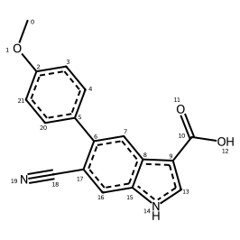 COc1ccc(-c2cc3c(C(=O)O)c[nH]c3cc2C#N)cc1